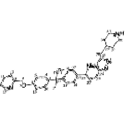 CC(C)C(C)(c1ccc(OCc2ccccn2)cc1)c1ccc(-c2ccc3nnc(CC4CCNCC4)n3n2)cc1